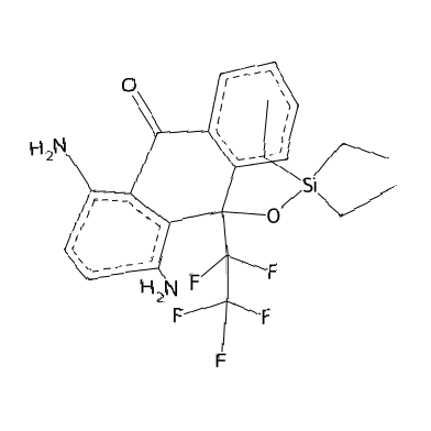 CC[Si](CC)(CC)OC1(C(F)(F)C(F)(F)F)c2ccccc2C(=O)c2c(N)ccc(N)c21